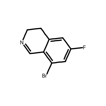 Fc1cc(Br)c2c(c1)CCN=C2